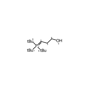 CC(C)(C)P(=CCCO)(C(C)(C)C)C(C)(C)C